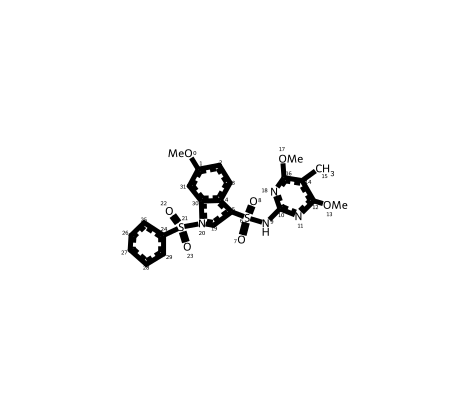 COc1ccc2c(S(=O)(=O)Nc3nc(OC)c(C)c(OC)n3)cn(S(=O)(=O)c3ccccc3)c2c1